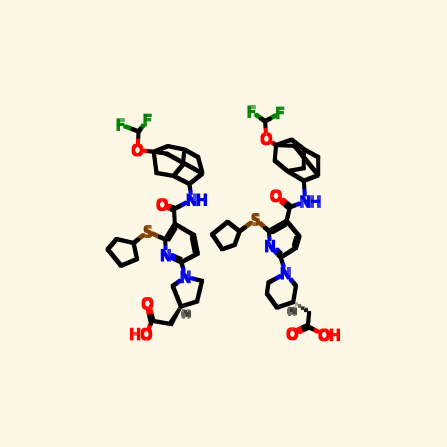 O=C(O)C[C@@H]1CCCN(c2ccc(C(=O)NC3C4CC5CC3CC(OC(F)F)(C5)C4)c(SC3CCCC3)n2)C1.O=C(O)C[C@@H]1CCN(c2ccc(C(=O)NC3C4CC5CC3CC(OC(F)F)(C5)C4)c(SC3CCCC3)n2)C1